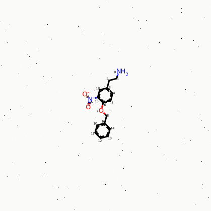 NCCc1ccc(OCc2ccccc2)c([N+](=O)[O-])c1